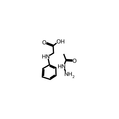 CC(=O)NN.O=C(O)CNc1ccccc1